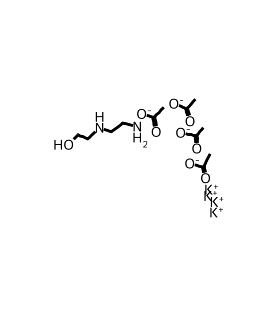 CC(=O)[O-].CC(=O)[O-].CC(=O)[O-].CC(=O)[O-].NCCNCCO.[K+].[K+].[K+].[K+]